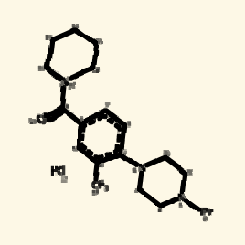 CC(C)N1CCN(c2ccc(C(=O)N3CCCCC3)cc2C(F)(F)F)CC1.Cl